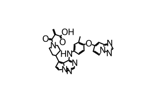 C=C(C(=O)O)C(=O)N1CCC(c2ccn3ncnc(Nc4ccc(Oc5ccn6ncnc6c5)c(C)c4)c23)CC1